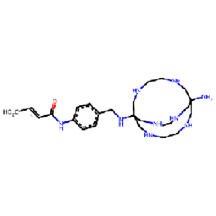 NC12CNCCNCC(NCc3ccc(NC(=O)/C=C/C(=O)O)cc3)(CNCCNC1)CNCCNC2